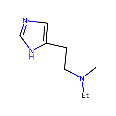 CCN(C)CCc1cnc[nH]1